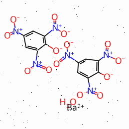 O.O=[N+]([O-])c1cc([N+](=O)[O-])c([O-])c([N+](=O)[O-])c1.O=[N+]([O-])c1cc([N+](=O)[O-])c([O-])c([N+](=O)[O-])c1.[Ba+2]